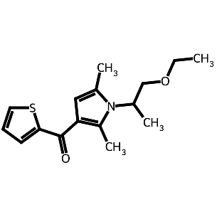 CCOCC(C)n1c(C)cc(C(=O)c2cccs2)c1C